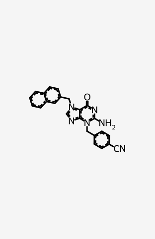 N#Cc1ccc(Cn2c(N)nc(=O)c3c2ncn3Cc2ccc3ccccc3c2)cc1